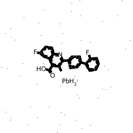 Cc1c(-c2ccc(-c3ccccc3F)cc2)nc2ccc(F)cc2c1C(=O)O.[PbH2]